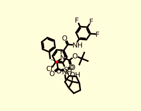 CC(C)(C)OC(=O)N[C@@H](Cc1ccccc1)C(=O)NC[C@]1(O)C2CCC1C[C@@H](S(=O)(=O)c1cc(C(=O)Nc3cc(F)c(F)c(F)c3)ccc1Cl)C2